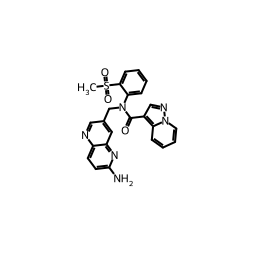 CS(=O)(=O)c1ccccc1N(Cc1cnc2ccc(N)nc2c1)C(=O)c1cnn2ccccc12